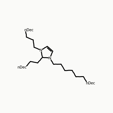 CCCCCCCCCCCCCCCCN1C=CN(CCCCCCCCCCCCC)C1CCCCCCCCCCCC